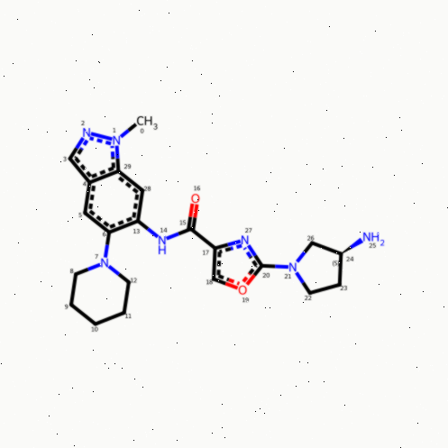 Cn1ncc2cc(N3CCCCC3)c(NC(=O)c3coc(N4CC[C@H](N)C4)n3)cc21